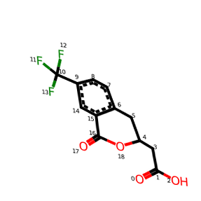 O=C(O)CC1Cc2ccc(C(F)(F)F)cc2C(=O)O1